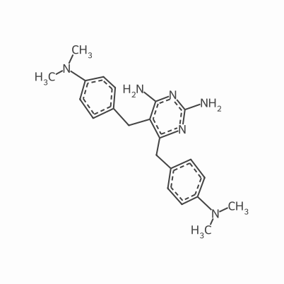 CN(C)c1ccc(Cc2nc(N)nc(N)c2Cc2ccc(N(C)C)cc2)cc1